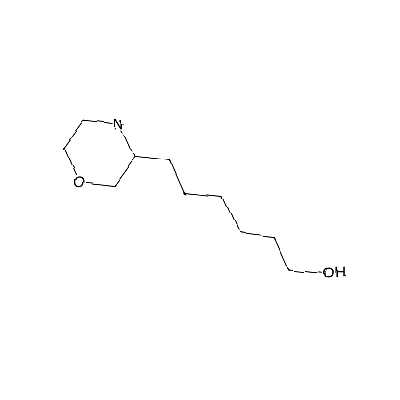 OCCCCCCC1COCC[N]1